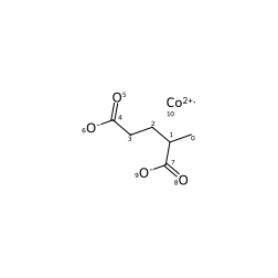 CC(CCC(=O)[O-])C(=O)[O-].[Co+2]